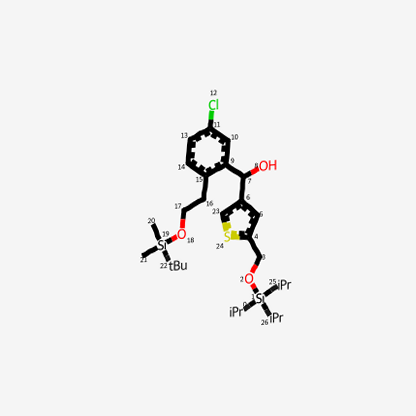 CC(C)[Si](OCc1cc(C(O)c2cc(Cl)ccc2CCO[Si](C)(C)C(C)(C)C)cs1)(C(C)C)C(C)C